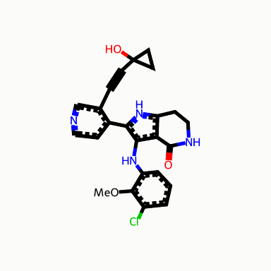 COc1c(Cl)cccc1Nc1c(-c2ccncc2C#CC2(O)CC2)[nH]c2c1C(=O)NCC2